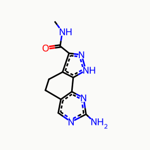 CNC(=O)c1n[nH]c2c1CCc1cnc(N)nc1-2